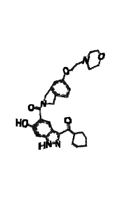 O=C(c1n[nH]c2cc(O)c(C(=O)N3Cc4ccc(OCCN5CCOCC5)cc4C3)cc12)C1CCCCC1